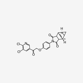 O=C(COc1ccc(N2C(=O)C3C(C2=O)[C@@H]2C=CC3[C@H]3CC23)cc1)c1cnc(Cl)c(Cl)c1